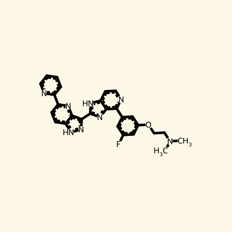 CN(C)CCOc1cc(F)cc(-c2nccc3[nH]c(-c4n[nH]c5ccc(-c6ccccn6)nc45)nc23)c1